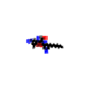 CCCCCCCCC1CNCC(C(=O)N[C@H](C(=O)N[C@@H](CCN)C(=O)C(C)C)[C@H](C)O)C1